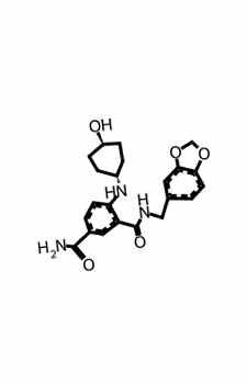 NC(=O)c1ccc(N[C@H]2CC[C@H](O)CC2)c(C(=O)NCc2ccc3c(c2)OCO3)c1